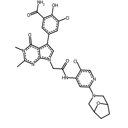 Cc1nc2c(c(-c3cc(Cl)c(O)c(C(N)=O)c3)cn2CC(=O)Nc2cc(N3CC4CCC(C3)O4)ncc2Cl)c(=O)n1C